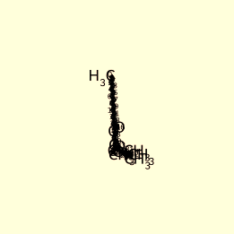 CCCCCCCCCCCCCCCC(=O)OCCCOP(=O)(OC)OCC[N+](C)(C)C